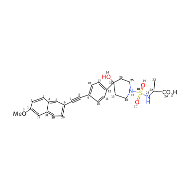 COc1ccc2cc(C#Cc3ccc(C4(O)CCN(S(=O)(=O)NC(C)C(=O)O)CC4)cc3)ccc2c1